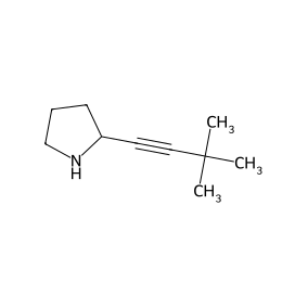 CC(C)(C)C#CC1CCCN1